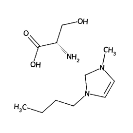 CCCCN1C=CN(C)C1.N[C@@H](CO)C(=O)O